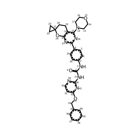 O=C(Nc1ccc(-c2nc3c(c(N4CCOCC4)n2)CCC2(CC2)O3)cc1)Nc1nccc(OCc2ccccc2)n1